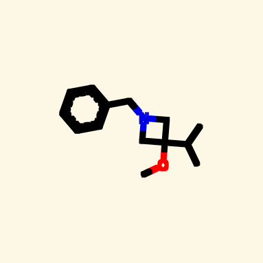 COC1(C(C)C)CN(Cc2ccccc2)C1